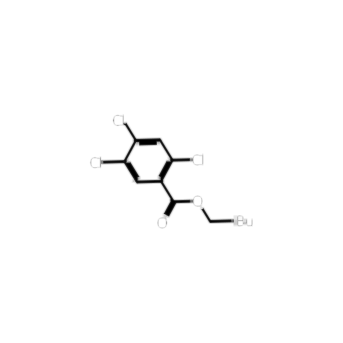 CCC(C)COC(=O)c1[c]c(Cl)c(Cl)cc1Cl